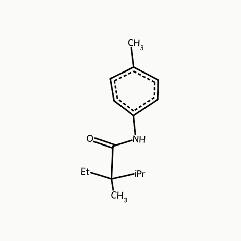 CCC(C)(C(=O)Nc1ccc(C)cc1)C(C)C